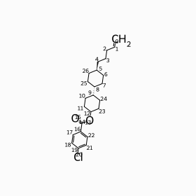 C=CCCC[C@H]1CC[C@H](C2CCC(OC(=O)c3ccc(Cl)cc3)CC2)CC1